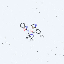 Cc1ccc(-c2nccs2)c(C(=O)N2C[C@H]3C[C@H]3[C@H]2CNc2nc3ccccc3o2)c1